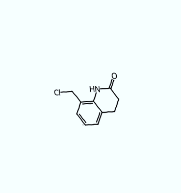 O=C1CCc2c[c]cc(CCl)c2N1